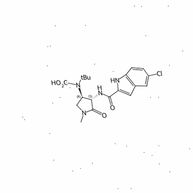 CN1C[C@@H](N(C(=O)O)C(C)(C)C)[C@H](NC(=O)c2cc3cc(Cl)ccc3[nH]2)C1=O